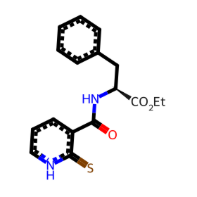 CCOC(=O)[C@H](Cc1ccccc1)NC(=O)c1ccc[nH]c1=S